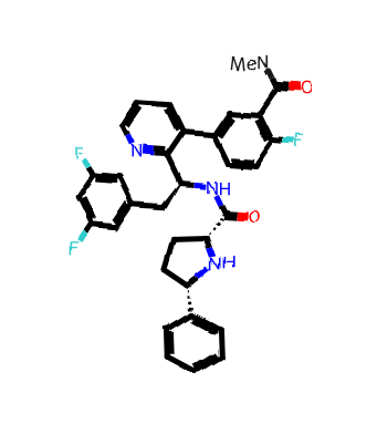 CNC(=O)c1cc(-c2cccnc2[C@H](Cc2cc(F)cc(F)c2)NC(=O)[C@H]2CC[C@@H](c3ccccc3)N2)ccc1F